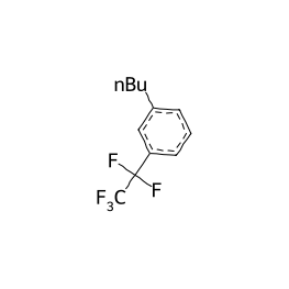 [CH2]CCCc1cccc(C(F)(F)C(F)(F)F)c1